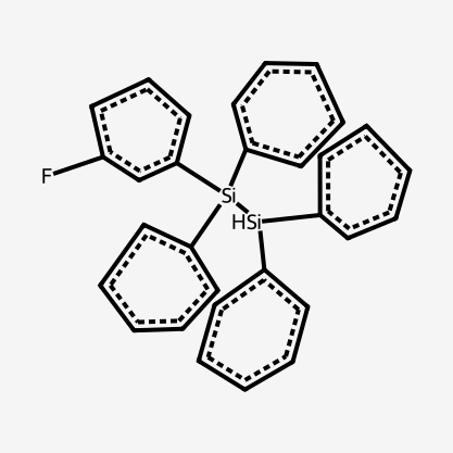 Fc1cccc([Si](c2ccccc2)(c2ccccc2)[SiH](c2ccccc2)c2ccccc2)c1